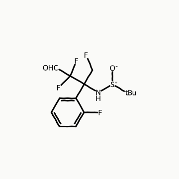 CC(C)(C)[S+]([O-])NC(CF)(c1ccccc1F)C(F)(F)C=O